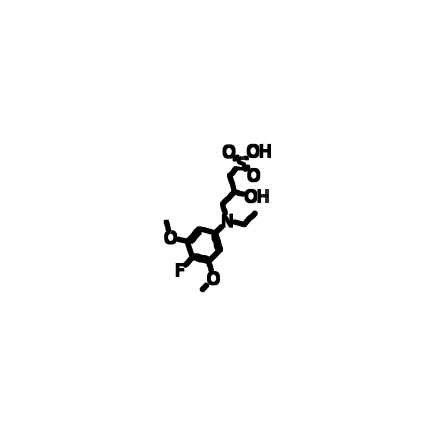 CCN(CC(O)CS(=O)(=O)O)c1cc(OC)c(F)c(OC)c1